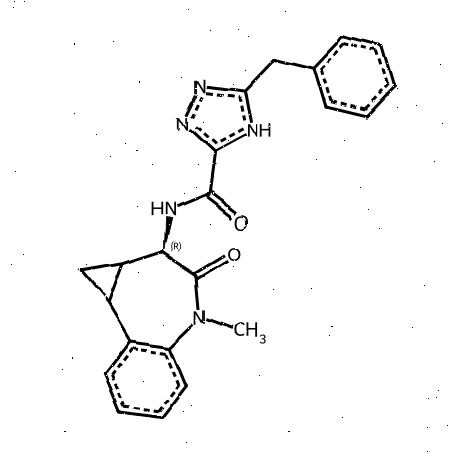 CN1C(=O)[C@H](NC(=O)c2nnc(Cc3ccccc3)[nH]2)C2CC2c2ccccc21